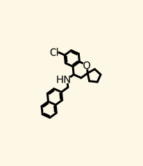 Clc1ccc2c(c1)C(NCc1ccc3ccccc3c1)CC1(CCCC1)O2